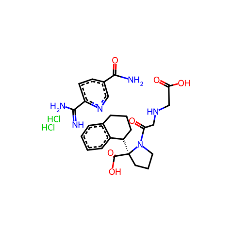 Cl.Cl.N=C(N)c1ccc(C(N)=O)cn1.O=C(O)CNCC(=O)N1CCC[C@]1(C(=O)O)C1CCCc2ccccc21